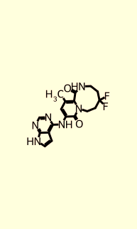 Cc1cc(Nc2ncnc3[nH]ccc23)c(=O)n2c1C(=O)NCCC(F)(F)CC2